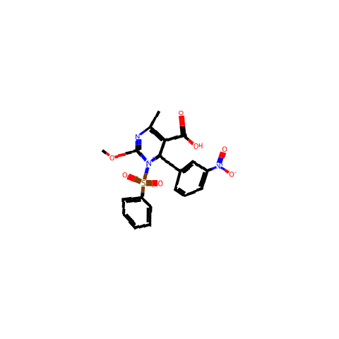 COC1=NC(C)=C(C(=O)O)C(c2cccc([N+](=O)[O-])c2)N1S(=O)(=O)c1ccccc1